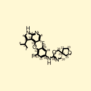 CC(C)c1c[nH]c2nccc(Oc3c(F)cc(NC4=NC[C@@]5(CCOC5)CO4)cc3F)c12